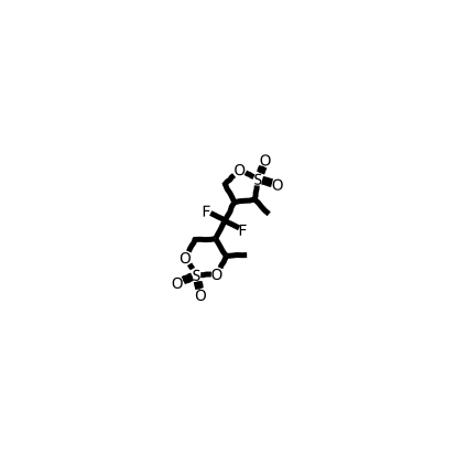 CC1OS(=O)(=O)OCC1C(F)(F)C1COS(=O)(=O)C1C